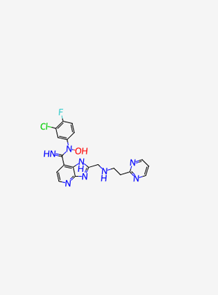 N=C(c1ccnc2nc(CNCCc3ncccn3)[nH]c12)N(O)c1ccc(F)c(Cl)c1